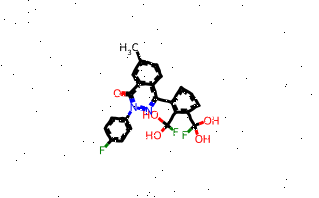 Cc1ccc2c(-c3cccc(C(O)(O)F)c3C(O)(O)F)nn(-c3ccc(F)cc3)c(=O)c2c1